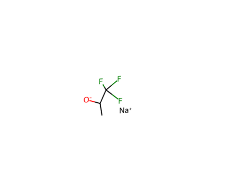 CC([O-])C(F)(F)F.[Na+]